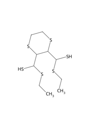 CCSC(S)C1SCCSC1C(S)SCC